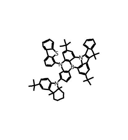 CC(C)(C)c1cc2c3c(c1)-n1c4c(c5cc(C(C)(C)C)cc(c51)B3c1ccc(N3c5ccc(C(C)(C)C)cc5C5(C)CCCCC35C)cc1N2c1cccc2c1sc1ccccc12)C(C)(C)c1ccccc1-4